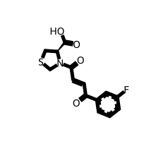 O=C(C=CC(=O)N1CSC[C@H]1C(=O)O)c1cccc(F)c1